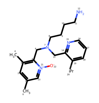 Cc1cc(C)c(CN(CCCCN)Cc2ncccc2C(C)C)[n+]([O-])c1